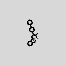 Cc1c[n+]2c(cc1-c1ccc(-c3ccccc3)cc1)-c1ccccc1C2